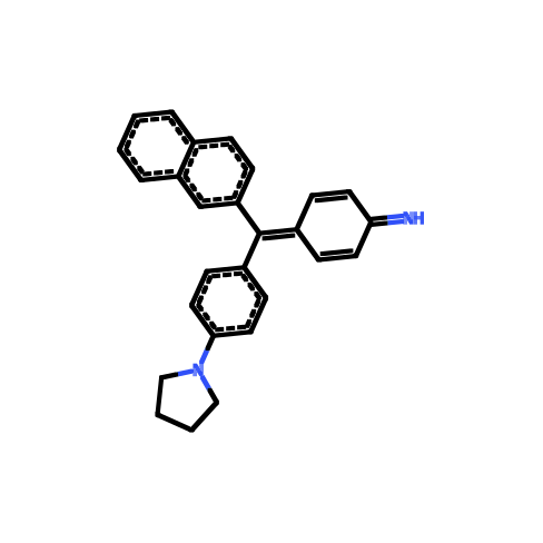 N=C1C=CC(=C(c2ccc(N3CCCC3)cc2)c2ccc3ccccc3c2)C=C1